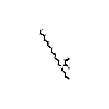 C=CCCN(CCCCCCCCCCCC)C(=O)C=C